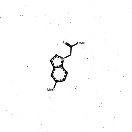 COC(=O)Cn1ccc2cc(OC)ccc21